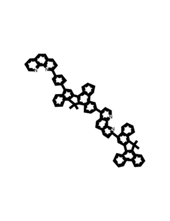 CC1(C)c2c(cc(-c3ccc(-c4ccc5ccc6cccnc6c5n4)cc3)c3ccccc23)-c2c1c1ccc(-c3ccnc4c3ccc3ccc(-c5cc6c(c7ccccc57)C(C)(C)c5c-6c6ccccc6c6ccccc56)nc34)cc1c1ccccc21